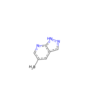 Bc1cnc2[nH]ncc2c1